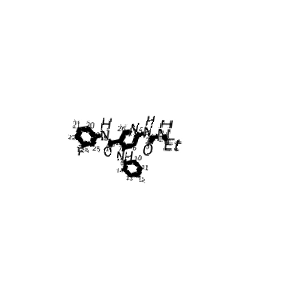 CCNC(=O)Nc1cc(Nc2ccccc2)c(C(=O)Nc2cccc(F)c2)cn1